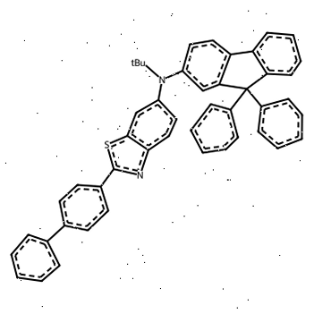 CC(C)(C)N(c1ccc2c(c1)C(c1ccccc1)(c1ccccc1)c1ccccc1-2)c1ccc2nc(-c3ccc(-c4ccccc4)cc3)sc2c1